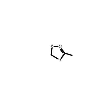 C[C]1=[Cf][O]CO1